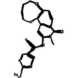 Cn1c(NC(=O)c2cnc(N)nc2)cc2c3c(ccc2c1=O)OCCCCO3